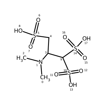 CN(C)C(CS(=O)(=O)O)C(S(=O)(=O)O)S(=O)(=O)O